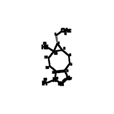 CC(=O)OC[C@@H]1C2CCc3nnn(C(C)C)c3CCC21S